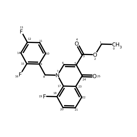 CCOC(=O)c1cn(Cc2ccc(F)cc2F)c2c(F)cccc2c1=O